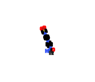 CCNC(=O)N1CC2(C)CN(c3ccc(N4CCS(=O)(=O)CC4)cc3)CC2(C)C1